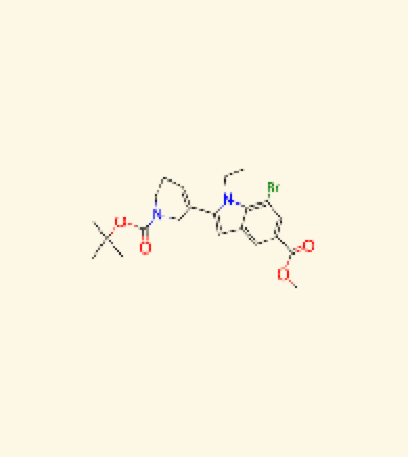 CCn1c(C2=CCCN(C(=O)OC(C)(C)C)C2)cc2cc(C(=O)OC)cc(Br)c21